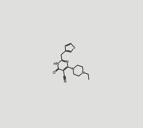 CCN1CCN(c2nc(Cc3ccsc3)[nH]c(=O)c2C#N)CC1